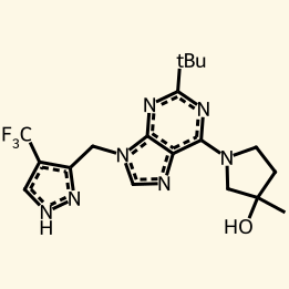 CC1(O)CCN(c2nc(C(C)(C)C)nc3c2ncn3Cc2n[nH]cc2C(F)(F)F)C1